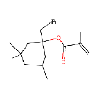 C=C(C)C(=O)OC1(CC(C)C)CC(C)CC(C)(C)C1